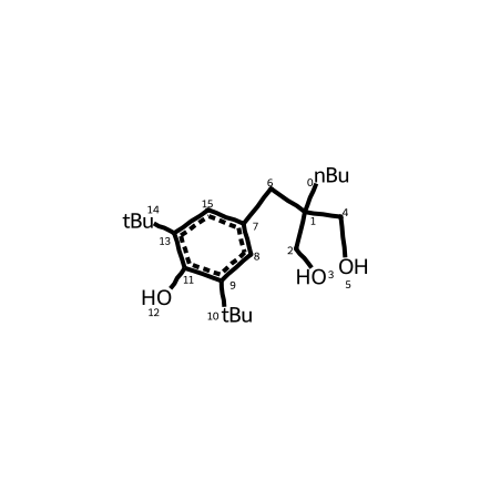 CCCCC(CO)(CO)Cc1cc(C(C)(C)C)c(O)c(C(C)(C)C)c1